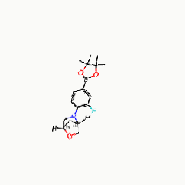 CC1(C)OB(c2ccc(N3C[C@@H]4C[C@H]3CO4)c(F)c2)OC1(C)C